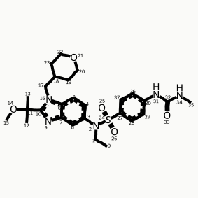 CCN(c1ccc2c(c1)nc(C(C)(C)OC)n2CC1CCOCC1)S(=O)(=O)c1ccc(NC(=O)NC)cc1